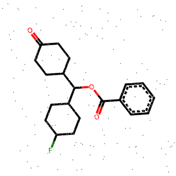 O=C1CCC(C(OC(=O)c2ccccc2)C2CCC(F)CC2)CC1